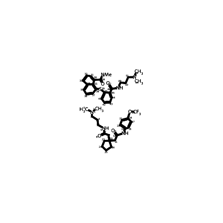 CN(C)CCCNC(=O)CC1(CC(=O)Nc2ccc(OC(F)(F)F)cc2)CCCC1.CNC(=O)c1cccc2cccc(Sc3ccccc3C(=O)NCCCN(C)C)c12